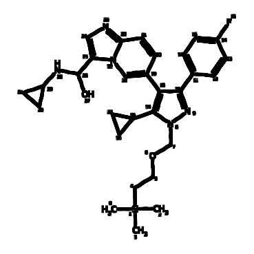 C[Si](C)(C)CCOCn1nc(-c2ccc(F)cc2)c(-c2ccc3ncc(C(O)NC4CC4)n3c2)c1C1CC1